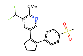 COc1ncc(C2=C(c3ccc(S(C)(=O)=O)cc3)CCC2)cc1C(F)F